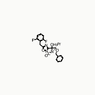 CC(C)[C@H](OCc1ccccc1)C(O)(N=C=O)c1noc(Cc2c(F)cccc2F)n1